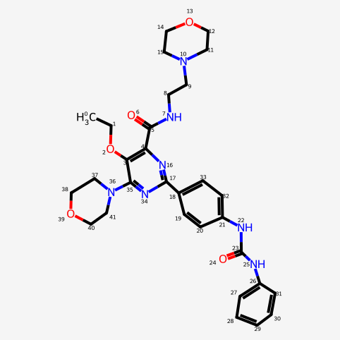 CCOc1c(C(=O)NCCN2CCOCC2)nc(-c2ccc(NC(=O)Nc3ccccc3)cc2)nc1N1CCOCC1